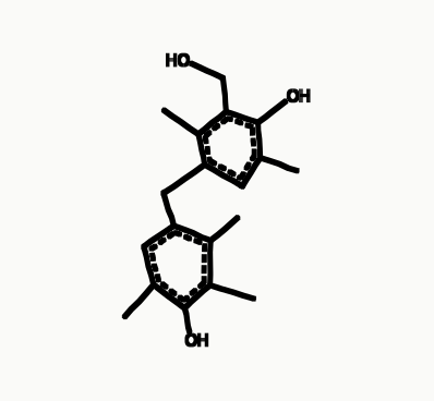 Cc1cc(Cc2cc(C)c(O)c(CO)c2C)c(C)c(C)c1O